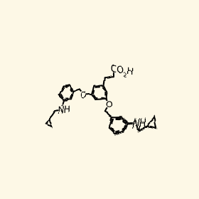 O=C(O)CCc1cc(OCc2cccc(NCC3CC3)c2)cc(OCc2cccc(NCC3CC3)c2)c1